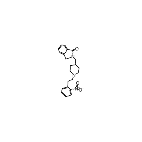 O=C1c2ccccc2CN1CC1CCN(CCc2ccccc2[N+](=O)[O-])CC1